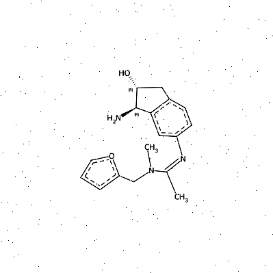 CC(=Nc1ccc2c(c1)[C@@H](N)[C@H](O)C2)N(C)Cc1ccco1